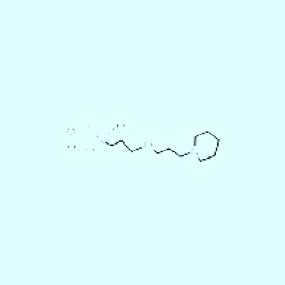 CO[Si](CCCOC[CH]CN1CCCCC1)(OC)OC